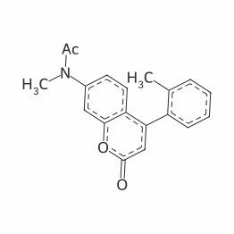 CC(=O)N(C)c1ccc2c(-c3ccccc3C)cc(=O)oc2c1